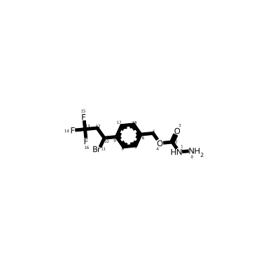 NNC(=O)OCc1ccc(C(Br)CC(F)(F)F)cc1